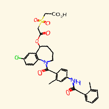 Cc1ccccc1C(=O)Nc1ccc(C(=O)N2CCCC(OC(=O)CS(=O)(=O)CC(=O)O)c3cc(Cl)ccc32)c(C)c1